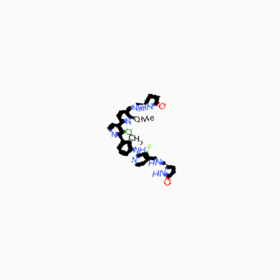 COc1nc(-c2ccnc(-c3cccc(Nc4nccc(CNC[C@@H]5CCC(=O)N5)c4F)c3C)c2Cl)ccc1CNC[C@H]1CCC(=O)N1